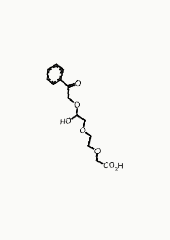 O=C(O)COCCOCC(O)OCC(=O)c1ccccc1